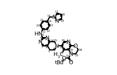 Cc1c(N2CCc3cnc(Nc4ccc(Cn5cccn5)cc4)nc3C2)cnc2c1N(C(=O)OC(C)(C)C)CCO2